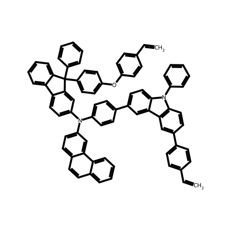 C=Cc1ccc(Oc2ccc(C3(c4ccccc4)c4ccccc4-c4ccc(N(c5ccc(-c6ccc7c(c6)c6cc(-c8ccc(C=C)cc8)ccc6n7-c6ccccc6)cc5)c5ccc6ccc7ccccc7c6c5)cc43)cc2)cc1